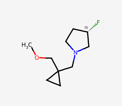 COCC1(CN2CC[C@H](F)C2)CC1